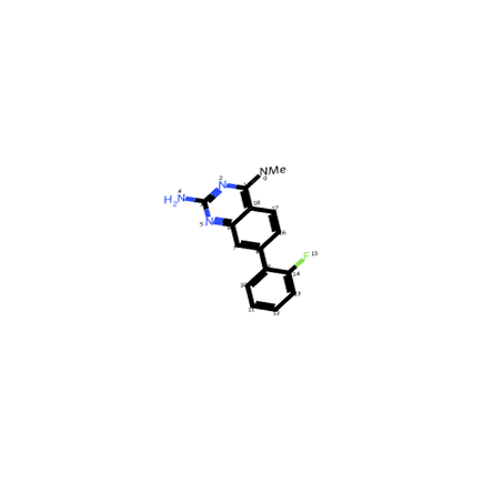 CNc1nc(N)nc2cc(-c3ccccc3F)ccc12